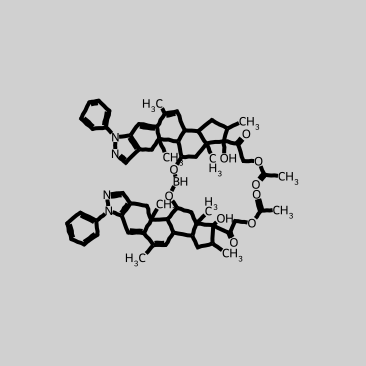 CC(=O)OCC(=O)C1(O)C(C)CC2C3C=C(C)C4=Cc5c(cnn5-c5ccccc5)CC4(C)C3C(OBOC3CC4(C)C(CC(C)C4(O)C(=O)COC(C)=O)C4C=C(C)C5=Cc6c(cnn6-c6ccccc6)CC5(C)C34)CC21C